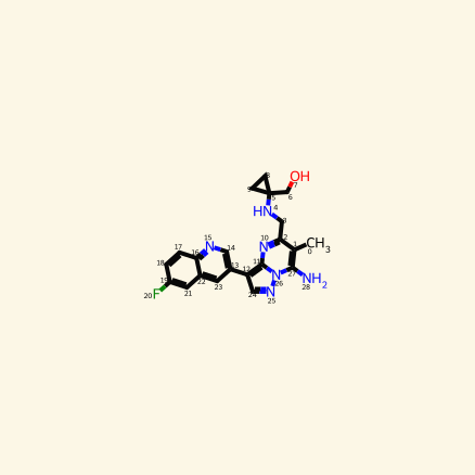 Cc1c(CNC2(CO)CC2)nc2c(-c3cnc4ccc(F)cc4c3)cnn2c1N